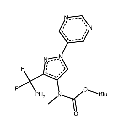 CN(C(=O)OC(C)(C)C)c1cn(-c2cncnc2)nc1C(F)(F)P